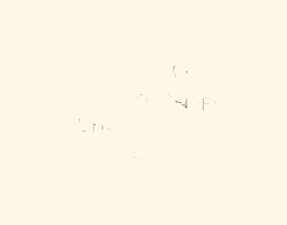 CCn1c(=O)oc2c(C=O)cccc21